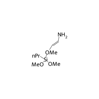 CC=CN.CCC[Si](OC)(OC)OC